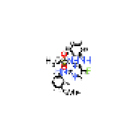 CSc1cccc(Nc2ncc(F)c(Nc3ccccc3NS(C)(=O)=O)n2)c1